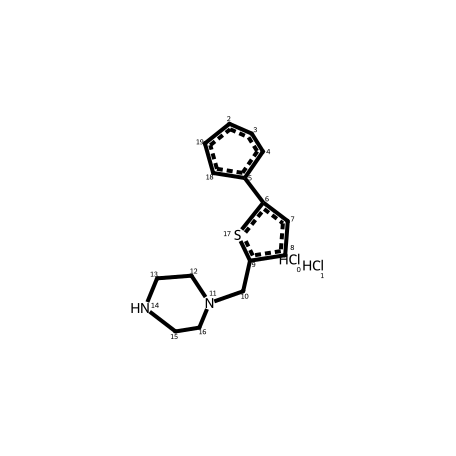 Cl.Cl.c1ccc(-c2ccc(CN3CCNCC3)s2)cc1